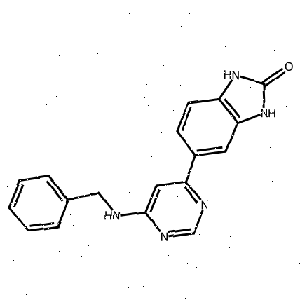 O=c1[nH]c2ccc(-c3cc(NCc4ccccc4)ncn3)cc2[nH]1